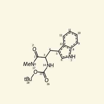 CNC(=O)C(Cc1c[nH]c2ccccc12)NC(=O)OC(C)(C)C